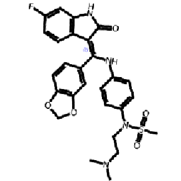 CN(C)CCN(c1ccc(N/C(=C2\C(=O)Nc3cc(F)ccc32)c2ccc3c(c2)OCO3)cc1)S(C)(=O)=O